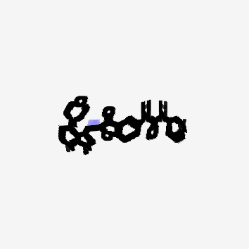 Cn1cc(/C=C2\Oc3ccc(NC(=O)Nc4cccnc4)cc3C2=O)c2c(N3CCOCC3)ccnc21